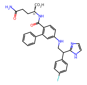 NC(=O)CC[C@H](NC(=O)c1ccc(NCC(c2ccc(F)cc2)c2ncc[nH]2)cc1-c1ccccc1)C(=O)O